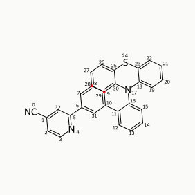 N#Cc1ccnc(-c2cccc(-c3ccccc3N3c4ccccc4Sc4ccccc43)c2)c1